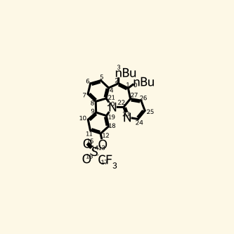 CCCCC1=C(CCCC)c2cccc3c4ccc(OS(=O)(=O)C(F)(F)F)cc4n(c23)-c2ncccc21